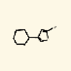 CC(C)c1cc(C2CCCCC2)[c]o1